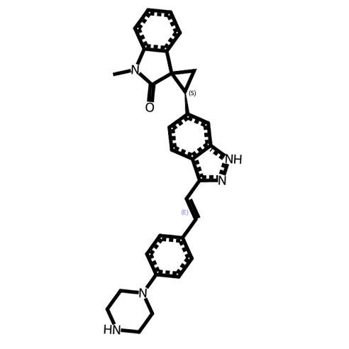 CN1C(=O)C2(C[C@H]2c2ccc3c(/C=C/c4ccc(N5CCNCC5)cc4)n[nH]c3c2)c2ccccc21